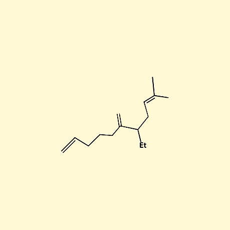 C=CCCCC(=C)C(CC)CC=C(C)C